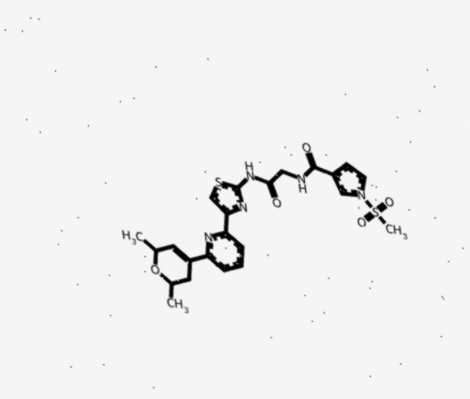 CC1C=C(c2cccc(-c3csc(NC(=O)CNC(=O)c4ccn(S(C)(=O)=O)c4)n3)n2)CC(C)O1